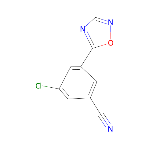 N#Cc1cc(Cl)cc(-c2ncno2)c1